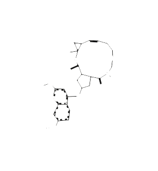 CCOc1cc(OC2CC3C(=O)NC4(C(=O)O)CC4/C=C\CCCCN(C)C(=O)C3C2)c2ccc(OC)cc2n1